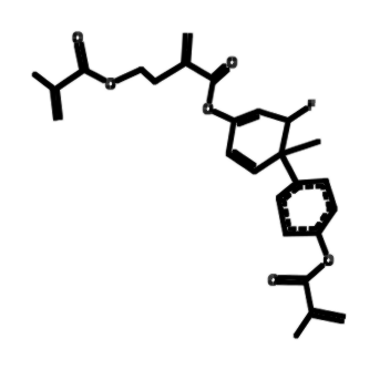 C=C(C)C(=O)OCCC(=C)C(=O)OC1=CC(F)C(C)(c2ccc(OC(=O)C(=C)C)cc2)C=C1